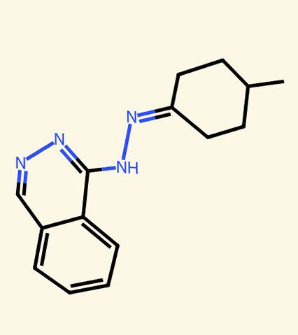 CC1CCC(=NNc2nncc3ccccc23)CC1